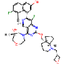 C#Cc1c(F)ccc2cc(O)cc(-c3ncc4c(N5CCOC[C@](C)(O)C5)nc(OC[C@]56CCC[C@H]5N(CC5COC5)CCC6)nc4c3F)c12